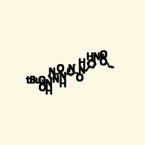 C=CCOC(=O)Nc1ccc(CNC(=O)c2cc(NC(=O)c3nc(NC(=O)OC(C)(C)C)cn3C)cn2C)cc1